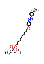 C=C(C)C(=O)OCCCCCCCCCCCOc1ccc(N=Nc2ccc(CCCC)cc2)cc1